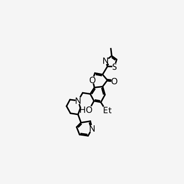 CCc1cc2c(=O)c(-c3nc(C)cs3)coc2c(CN2CCCC(c3cccnc3)C2)c1O